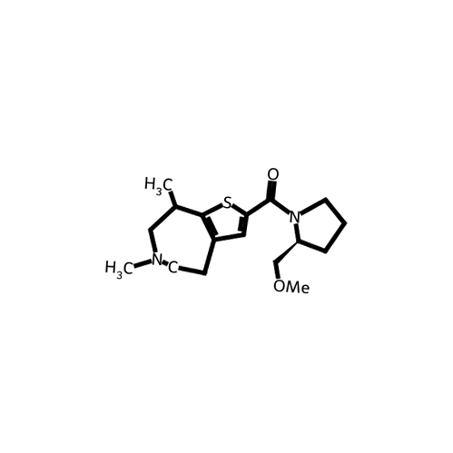 COC[C@@H]1CCCN1C(=O)c1cc2c(s1)C(C)CN(C)CC2